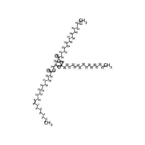 CCCCCCCC/C=C\CCCCCCCCCCCC(=O)OC[C@@H](COC(=O)CCCCCCCCCCCCCCCC)OC(=O)CCCCCCCCCCCCCCCC